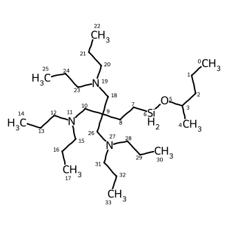 CCCC(C)O[SiH2]CCC(CN(CCC)CCC)(CN(CCC)CCC)CN(CCC)CCC